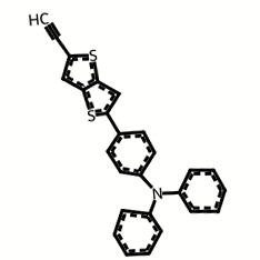 C#Cc1cc2sc(-c3ccc(N(c4ccccc4)c4ccccc4)cc3)cc2s1